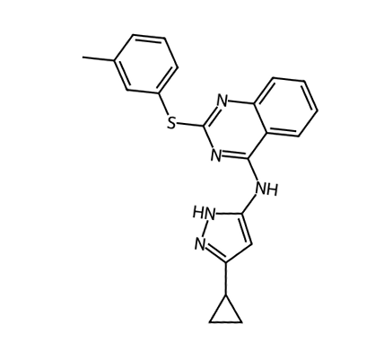 Cc1cccc(Sc2nc(Nc3cc(C4CC4)n[nH]3)c3ccccc3n2)c1